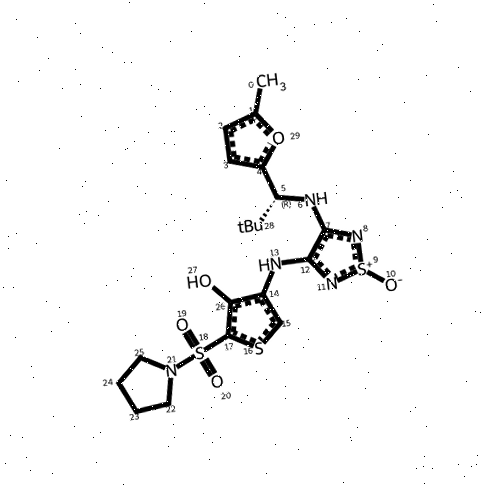 Cc1ccc([C@H](Nc2n[s+]([O-])nc2Nc2csc(S(=O)(=O)N3CCCC3)c2O)C(C)(C)C)o1